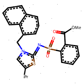 COC(=O)c1ccccc1S(=O)(=O)/N=c1\sc(C(C)C)cn1Cc1cccc2ccccc12